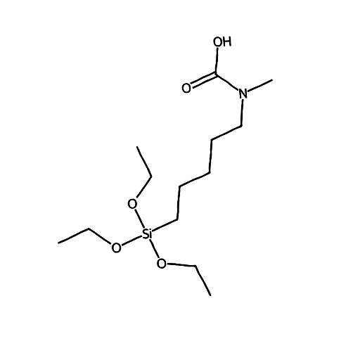 CCO[Si](CCCCCN(C)C(=O)O)(OCC)OCC